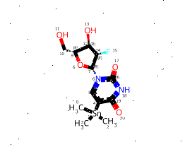 [CH3][Sn]([CH3])([CH3])[c]1cn([C@@H]2O[C@H](CO)[C@@H](O)[C@H]2F)c(=O)[nH]c1=O